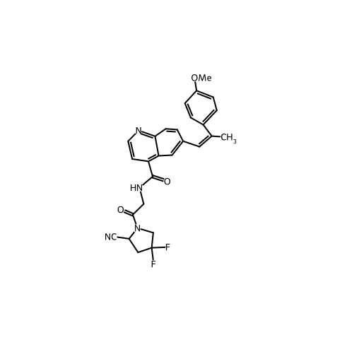 COc1ccc(C(C)=Cc2ccc3nccc(C(=O)NCC(=O)N4CC(F)(F)CC4C#N)c3c2)cc1